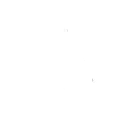 O=[C]C(C(=O)Cc1ccccc1)c1cccc(Br)c1